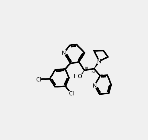 O[C@H](c1cccnc1-c1cc(Cl)cc(Cl)c1)[C@H](c1ccccn1)N1CCC1